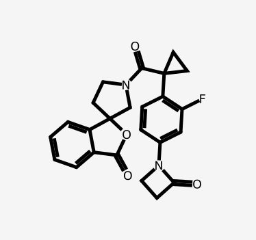 O=C1OC2(CCN(C(=O)C3(c4ccc(N5CCC5=O)cc4F)CC3)C2)c2ccccc21